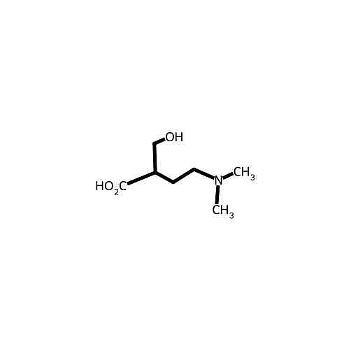 CN(C)CCC(CO)C(=O)O